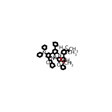 CC(C)(C)c1ccc(N2c3cc4c(cc3B3c5c(cc(-c6ccccc6)cc52)-c2cc(N(c5ccccc5)c5ccccc5)cc5c6oc7ccccc7c6n3c25)Oc2ccccc2C4(C)C)c(-c2ccccc2)c1